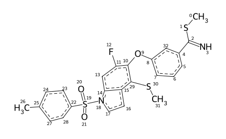 CSC(=N)c1cccc(Oc2c(F)cc3c(ccn3S(=O)(=O)c3ccc(C)cc3)c2SC)c1